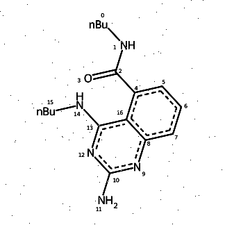 CCCCNC(=O)c1cccc2nc(N)nc(NCCCC)c12